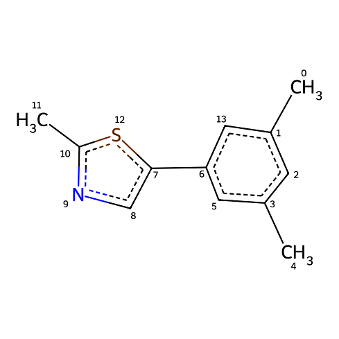 Cc1cc(C)cc(-c2cnc(C)s2)c1